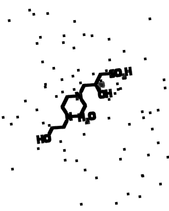 O.O=S(=O)(O)C[C@@H](O)CN1CCN(CCO)CC1